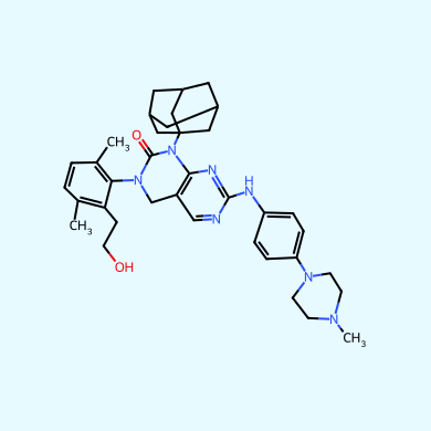 Cc1ccc(C)c(N2Cc3cnc(Nc4ccc(N5CCN(C)CC5)cc4)nc3N(C34CC5CC(CC(C5)C3)C4)C2=O)c1CCO